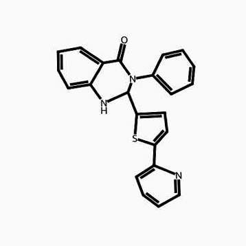 O=C1c2ccccc2NC(c2ccc(-c3ccccn3)s2)N1c1ccccc1